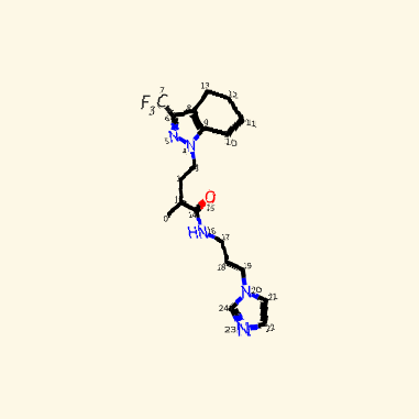 CC(CCn1nc(C(F)(F)F)c2c1CCCC2)C(=O)NCCCn1ccnc1